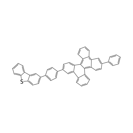 c1ccc(-c2ccc3c(c2)c2ccccc2c2c4ccc(-c5ccc(-c6ccc7sc8ccccc8c7c6)cc5)cc4c4ccccc4c32)cc1